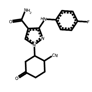 N#CC1CCC(=O)CC1n1cc(C(N)=O)c(Nc2ccc(F)cc2)n1